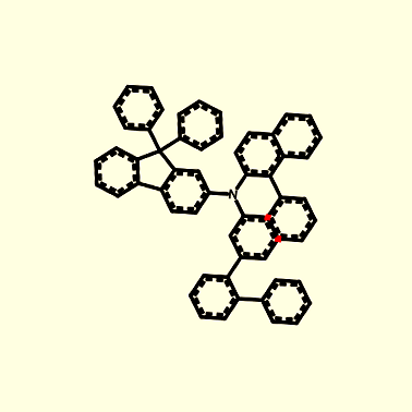 c1ccc(-c2ccccc2-c2cccc(N(c3ccc4c(c3)C(c3ccccc3)(c3ccccc3)c3ccccc3-4)c3ccc4ccccc4c3-c3ccccc3)c2)cc1